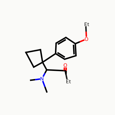 CCOc1ccc(C2(C(C(=O)CC)N(C)C)CCC2)cc1